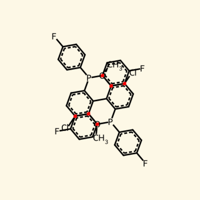 COc1c(Cl)ccc(P(c2ccc(F)cc2)c2ccc(F)cc2)c1-c1c(P(c2ccc(F)cc2)c2ccc(F)cc2)ccc(Cl)c1OC